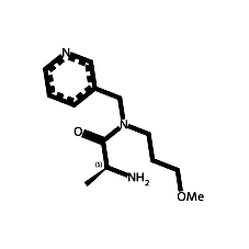 COCCCN(Cc1cccnc1)C(=O)[C@H](C)N